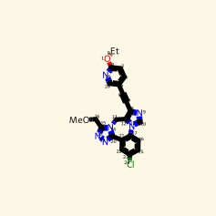 CCOc1ccc(C#Cc2ncn3c2Cn2c(COC)nnc2-c2cc(Cl)ccc2-3)cn1